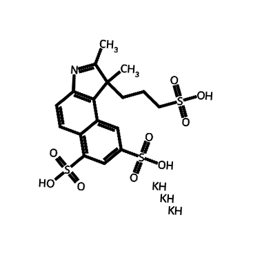 CC1=Nc2ccc3c(S(=O)(=O)O)cc(S(=O)(=O)O)cc3c2C1(C)CCCS(=O)(=O)O.[KH].[KH].[KH]